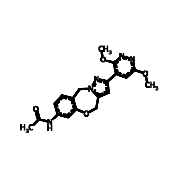 COc1cc(-c2cc3n(n2)Cc2ccc(NC(C)=O)cc2OC3)c(OC)nn1